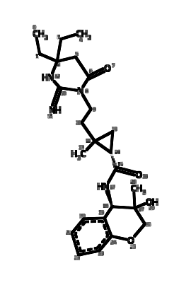 CCC1(CC)CC(=O)N(CCC2(C)C[C@@H]2C(=O)N[C@@H]2c3ccccc3OCC2(C)O)C(=N)N1